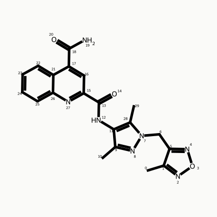 Cc1nonc1Cn1nc(C)c(NC(=O)c2cc(C(N)=O)c3ccccc3n2)c1C